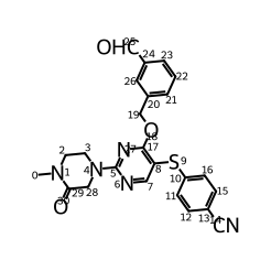 CN1CCN(c2ncc(Sc3ccc(C#N)cc3)c(OCc3cccc(C=O)c3)n2)CC1=O